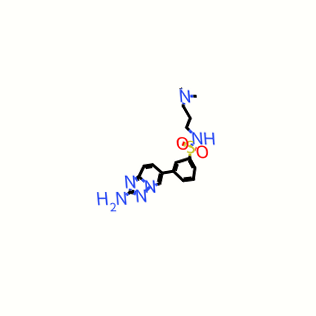 CN(C)CCCNS(=O)(=O)c1cccc(-c2ccc3nc(N)nn3c2)c1